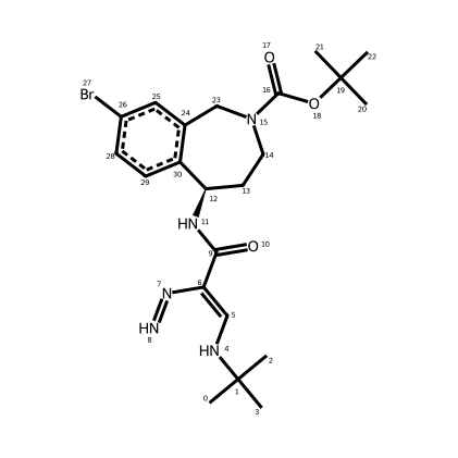 CC(C)(C)N/C=C(\N=N)C(=O)N[C@@H]1CCN(C(=O)OC(C)(C)C)Cc2cc(Br)ccc21